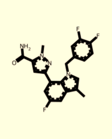 Cc1cn(Cc2ccc(F)c(F)c2)c2c(-c3cc(C(N)=O)n(C)n3)cc(F)cc12